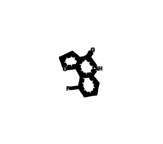 O=c1[nH]c2cccc(F)c2c2occc12